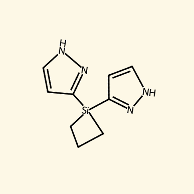 c1cc([Si]2(c3cc[nH]n3)CCC2)n[nH]1